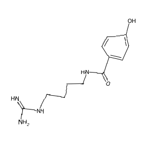 N=C(N)NCCCCNC(=O)c1ccc(O)cc1